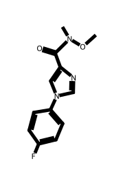 CON(C)C(=O)c1cn(-c2ccc(F)cc2)cn1